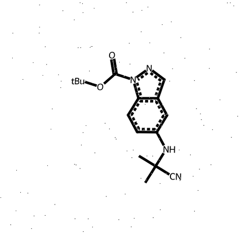 CC(C)(C#N)Nc1ccc2c(cnn2C(=O)OC(C)(C)C)c1